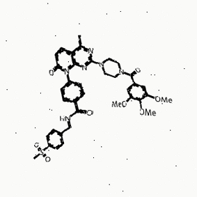 COc1cc(C(=O)N2CCN(c3nc(C)c4ccc(=O)n(-c5ccc(C(=O)NCc6ccc(S(C)(=O)=O)cc6)cc5)c4n3)CC2)cc(OC)c1OC